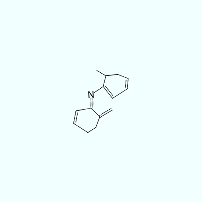 C=C1CCC=C/C1=N/C1=CC=CCC1C